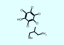 CC(CP)CC(C)(C)C.Oc1c(Cl)c(Cl)c(Cl)c(Cl)c1Cl